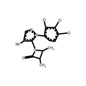 CC1C(=O)N(c2c(C#N)cnn2-c2ccc(Cl)c(Cl)c2Cl)C1C